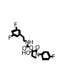 O=C(NCCc1cc(F)cc(F)c1)O[C@@]1(O)CCN(c2ccc(F)cc2)C1=O